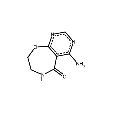 Nc1ncnc2c1C(=O)NCCO2